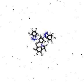 Cc1c(-n2nnc3c(C)c(C)c(C)c(C)c32)c(C)c(-n2c(C)c(C)c3c(C)c(C)c(C)c(C)c32)c(C)c1-n1nnc2c(C)c(C)c(C)c(C)c21